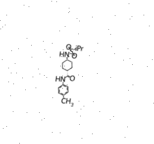 Cc1ccc(NC(=O)[C@H]2CC[C@H](NS(=O)(=O)C(C)C)CC2)cc1